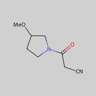 COC1CCN(C(=O)CC#N)C1